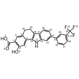 O=C(O)c1cc2c(cc1O)-c1[nH]c3cc(-c4cccc(C(F)(F)F)c4)ccc3c1CC2